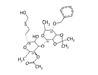 CC(=O)O[C@H]1C(C)O[C@H](CCSCO)C(O)C1O[C@@H]1OC(C)[C@H](OCc2ccccc2)C2OC(C)(C)OC21